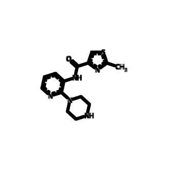 Cc1nc(C(=O)Nc2cccnc2N2CCNCC2)cs1